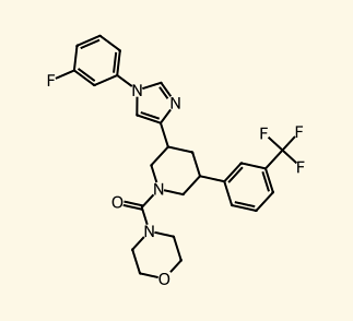 O=C(N1CCOCC1)N1CC(c2cccc(C(F)(F)F)c2)CC(c2cn(-c3cccc(F)c3)cn2)C1